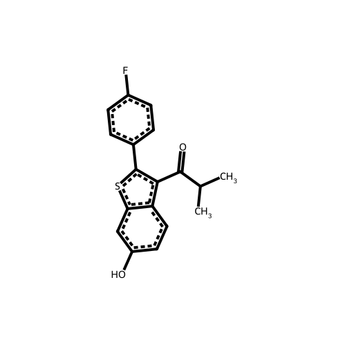 CC(C)C(=O)c1c(-c2ccc(F)cc2)sc2cc(O)ccc12